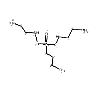 CCCCP(=O)(ONCCN)ONCCN